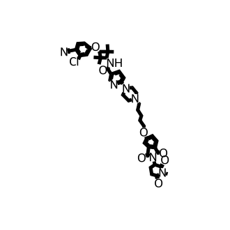 CN1C(=O)CCC(N2C(=O)c3ccc(OCCCCCN4CCN(c5ccc(C(=O)NC6C(C)(C)C(Oc7ccc(C#N)c(Cl)c7)C6(C)C)cn5)CC4)cc3C2=O)C1=O